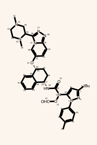 Cc1ccc(-n2nc(C(C)(C)C)cc2N(OC=O)C(=O)N[C@H]2CC[C@@H](Oc3ccc4nnc(C5CN(C)CCN5C)n4c3)c3ccccc32)cc1